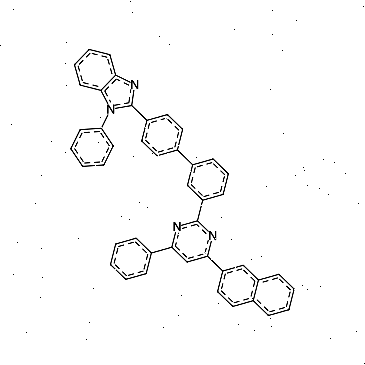 c1ccc(-c2cc(-c3ccc4ccccc4c3)nc(-c3cccc(-c4ccc(-c5nc6ccccc6n5-c5ccccc5)cc4)c3)n2)cc1